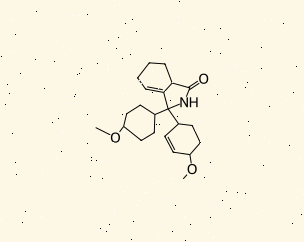 COC1C=CC(C2(C3CCC(OC)CC3)NC(=O)C3CCCC=C32)CC1